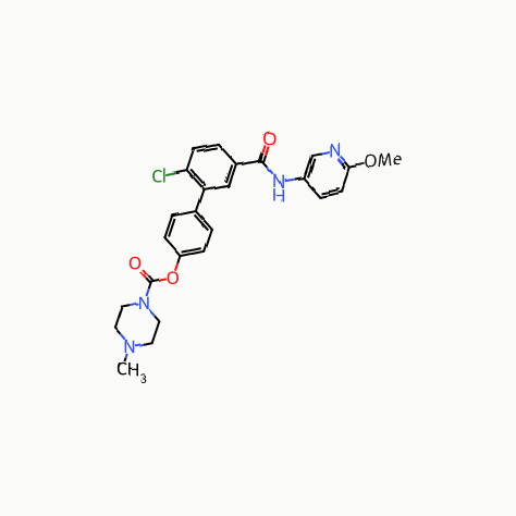 COc1ccc(NC(=O)c2ccc(Cl)c(-c3ccc(OC(=O)N4CCN(C)CC4)cc3)c2)cn1